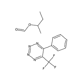 CCC(C)OC=O.FC(F)(F)c1nnnnc1-c1ccccc1